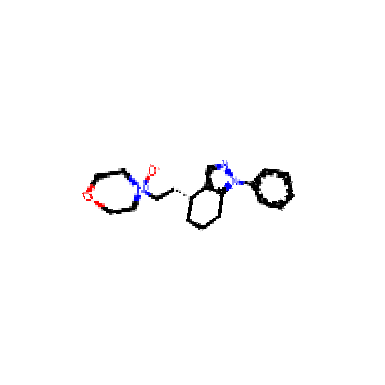 [O-][N+]1(CC[C@H]2CCCc3c2cnn3-c2ccccc2)CCOCC1